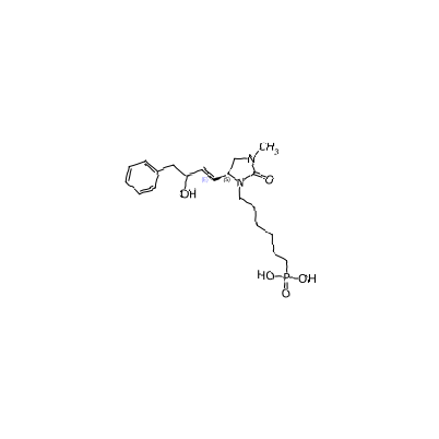 CN1C[C@H](/C=C/C(O)Cc2ccccc2)N(CCCCCCP(=O)(O)O)C1=O